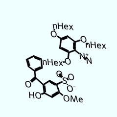 CCCCCCOc1cc(OCCCCCC)c([N+]#N)c(OCCCCCC)c1.COc1cc(O)c(C(=O)c2ccccc2)cc1S(=O)(=O)[O-]